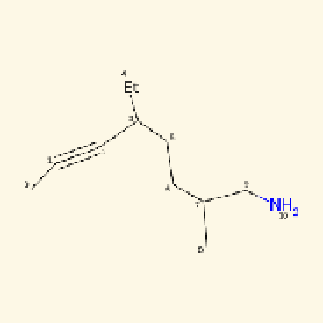 CC#CC(CC)CCC(C)CN